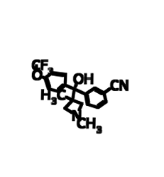 CN1CC(C)([C@](O)(c2ccc(OC(F)(F)F)cc2)c2cccc(C#N)c2)C1